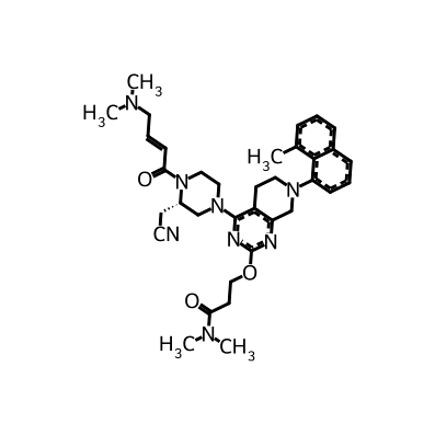 Cc1cccc2cccc(N3CCc4c(nc(OCCC(=O)N(C)C)nc4N4CCN(C(=O)/C=C/CN(C)C)[C@@H](CC#N)C4)C3)c12